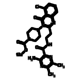 Cc1nc(N)c(C(=O)NCCc2nc3cccc(Cl)c3c(=O)n2N2CCN(C(=O)OC(C)(C)C)CC2)nc1C